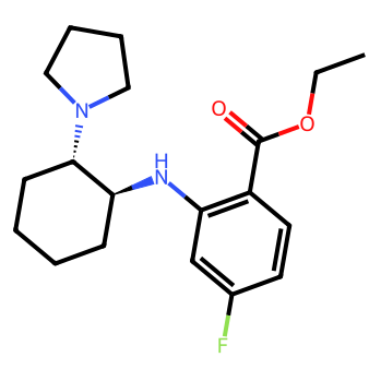 CCOC(=O)c1ccc(F)cc1N[C@H]1CCCC[C@@H]1N1CCCC1